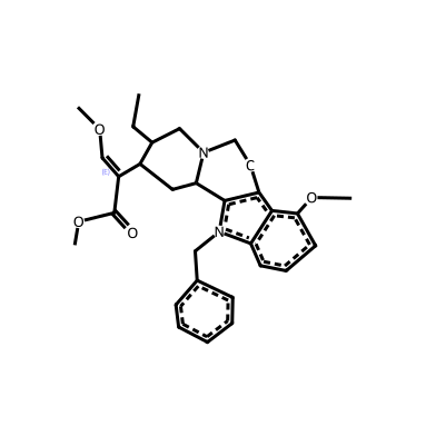 CCC1CN2CCc3c(n(Cc4ccccc4)c4cccc(OC)c34)C2CC1/C(=C\OC)C(=O)OC